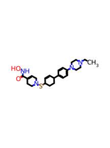 CCN1CCN(c2ccc(C3C=CC(SN4CC=C(C(=O)NO)CC4)CC3)cc2)CC1